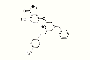 NC(=O)c1cc(OCCN(Cc2ccccc2)CC(O)COc2ccc([N+](=O)[O-])cc2)ccc1O